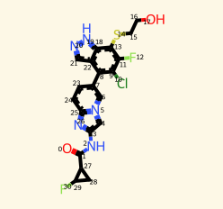 O=C(Nc1cn2cc(-c3c(Cl)c(F)c(SCCO)c4[nH]ncc34)ccc2n1)C1CC1F